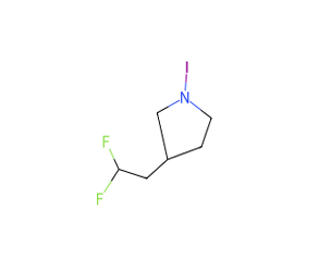 FC(F)CC1CCN(I)C1